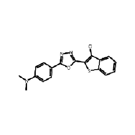 CN(C)c1ccc(-c2nnc(-c3sc4ccccc4c3Cl)o2)cc1